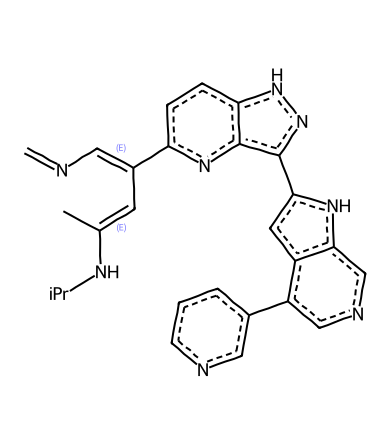 C=N/C=C(\C=C(/C)NC(C)C)c1ccc2[nH]nc(-c3cc4c(-c5cccnc5)cncc4[nH]3)c2n1